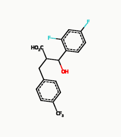 O=C(O)C(Cc1ccc(C(F)(F)F)cc1)C(O)c1ccc(F)cc1F